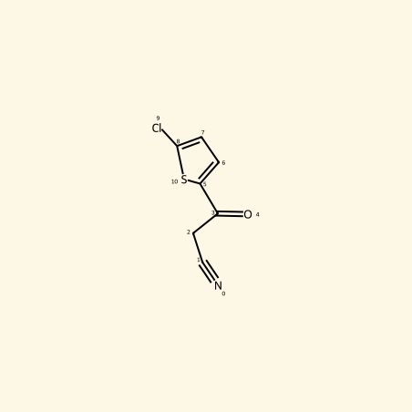 N#CCC(=O)c1ccc(Cl)s1